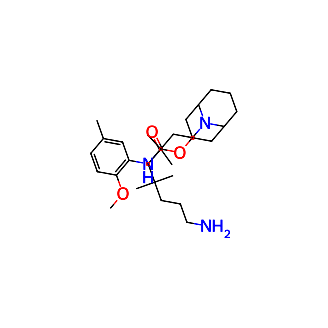 COc1ccc(C)cc1NC(=O)OC1CC2CCCC(C1)N2CCC(C)(C)CC(C)(C)CCCN